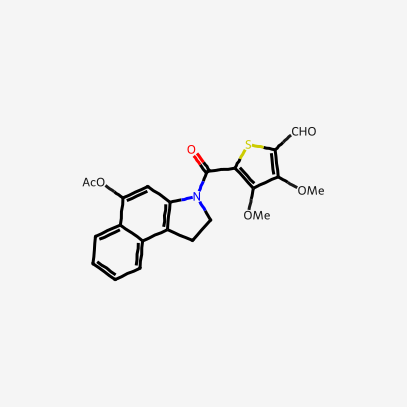 COc1c(C=O)sc(C(=O)N2CCc3c2cc(OC(C)=O)c2ccccc32)c1OC